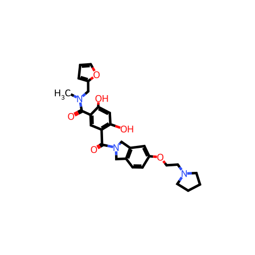 CN(Cc1ccco1)C(=O)c1cc(C(=O)N2Cc3ccc(OCCN4CCCC4)cc3C2)c(O)cc1O